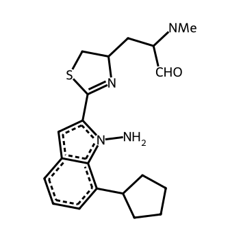 CNC(C=O)CC1CSC(c2cc3cccc(C4CCCC4)c3n2N)=N1